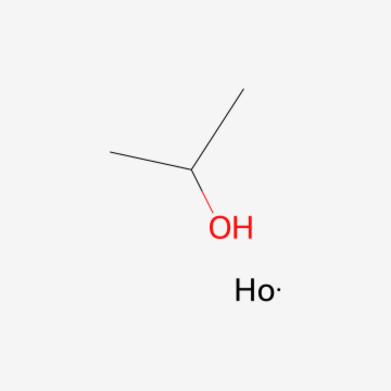 CC(C)O.[Ho]